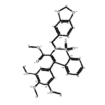 COC(=O)C1=C(c2cc(OC)c(OC)c(OC)c2)c2ccccc2S(=O)(=O)N1Cc1ccc2c(c1)OCO2